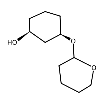 O[C@H]1CCC[C@@H](OC2CCCCO2)C1